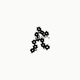 CC1(C)c2ccccc2-c2cc3c4ccccc4n(-c4cccc(-c5nc(-c6cccc(-c7ccc8oc9ccccc9c8c7)c6)cc(-c6cccc(-c7ccc8oc9ccccc9c8c7)c6)n5)c4)c3cc21